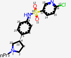 CCCN1CC[C@@H](c2ccc(NS(=O)(=O)c3ccc(Cl)nc3)cc2)C1